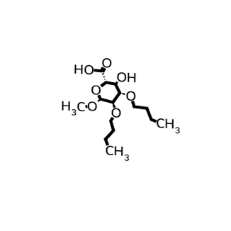 CCCCO[C@H]1[C@H](OC)O[C@H](C(=O)O)[C@@H](O)[C@@H]1OCCCC